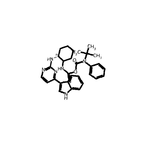 CC(C)(C)N(C(=O)OC(=O)NC1CCCC[C@H]1Nc1nccc(-c2c[nH]c3ccccc23)n1)c1ccccc1